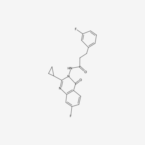 O=C(CCc1cccc(F)c1)Nn1c(C2CC2)nc2cc(F)ccc2c1=O